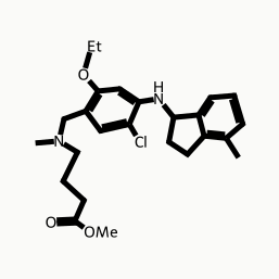 CCOc1cc(NC2CCc3c(C)cccc32)c(Cl)cc1CN(C)CCCC(=O)OC